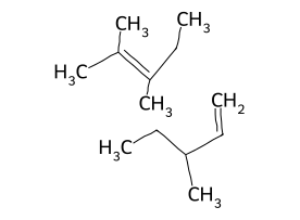 C=CC(C)CC.CCC(C)=C(C)C